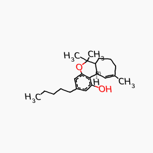 CCCCCc1cc(O)c2c(c1)OC(C)(C)C1CCCC(C)=C[C@@H]21